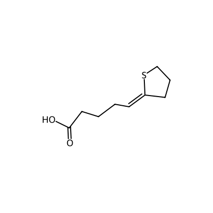 O=C(O)CCC/C=C1/CCCS1